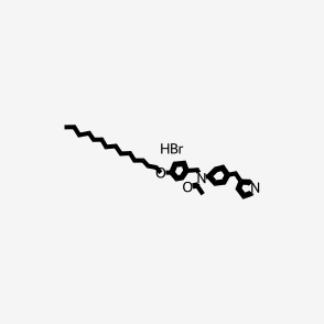 Br.CCCCCCCCCCCCCCOc1ccc(CN(C(C)=O)c2ccc(Cc3cccnc3)cc2)cc1